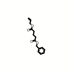 C=CCOC(=O)CCCC(=O)OCc1ccccc1